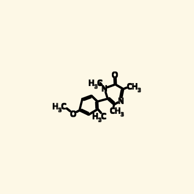 COc1ccc(-c2c(C)nc(C)c(=O)n2C)c(C)c1